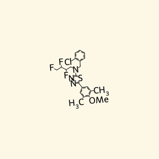 COc1c(C)cc(-c2nnc(N(Cc3ccccc3Cl)CC(F)C(F)CF)s2)cc1C